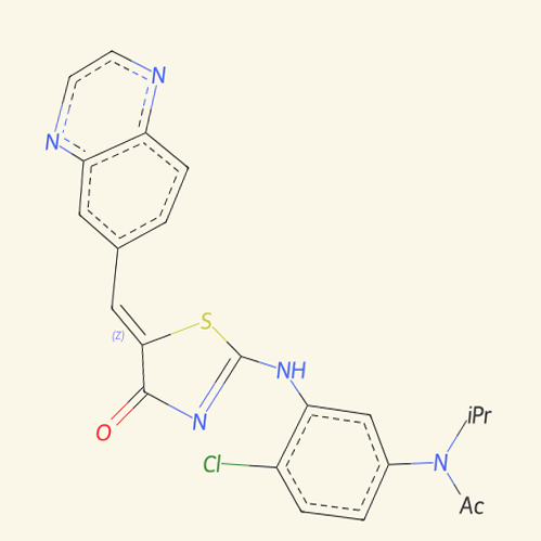 CC(=O)N(c1ccc(Cl)c(NC2=NC(=O)/C(=C/c3ccc4nccnc4c3)S2)c1)C(C)C